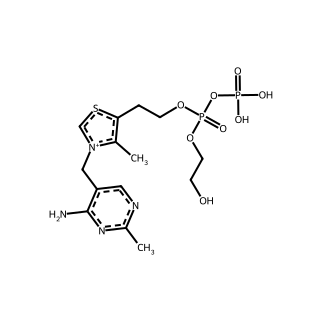 Cc1ncc(C[n+]2csc(CCOP(=O)(OCCO)OP(=O)(O)O)c2C)c(N)n1